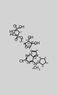 CN(c1nc(Cl)nn2c([C@@H]3O[C@H](COP(=O)(O)CP(=O)(O)O)[C@@H](O)[C@H]3O)cnc12)C1CCCC1